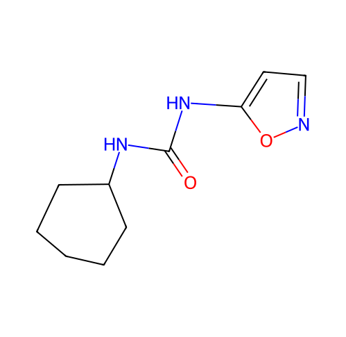 O=C(Nc1ccno1)NC1CCCCC1